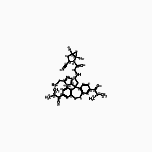 CCc1nnc(C2(CCNCC(=O)N3C(C#N)C[C@@H]4C[C@@H]43)c3ccc(C(=O)N(C)C)cc3CCc3cc(C(=O)N(C)C)ccc32)o1